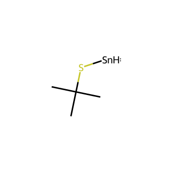 CC(C)(C)[S][SnH]